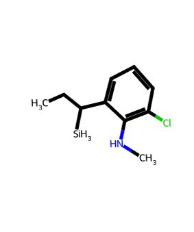 CCC([SiH3])c1cccc(Cl)c1NC